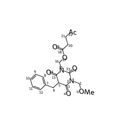 COCN1C(=O)C(Cc2ccccc2)C(=O)N(COC(=O)CCC(C)=O)C1=O